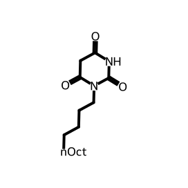 CCCCCCCCCCCCN1C(=O)CC(=O)NC1=O